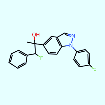 CC(O)(c1ccc2c(cnn2-c2ccc(F)cc2)c1)C(F)c1ccccc1